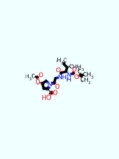 CC[C@H](C)[C@H](NC(=O)OC(C)(C)C)C(=O)NCC(=O)N1C[C@H](OC(C)=O)C[C@H]1C(=O)O